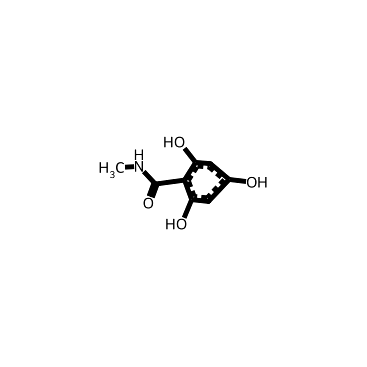 CNC(=O)c1c(O)cc(O)cc1O